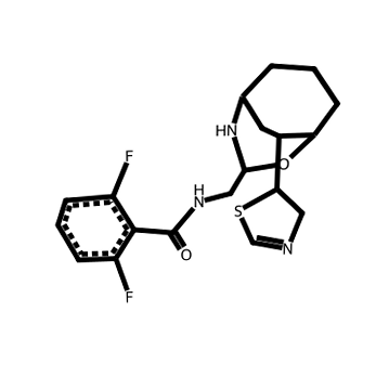 O=C(NCC1NC2CCCC(O1)C(C1CN=CS1)C2)c1c(F)cccc1F